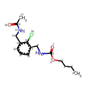 CCCCOC(=O)NCc1cccc(CNC(C)=O)c1Cl